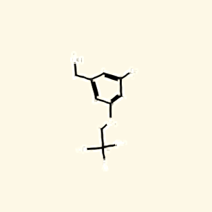 OCc1cc(Br)cc(OCC(F)(F)F)c1